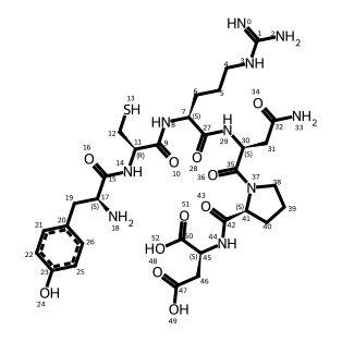 N=C(N)NCCC[C@H](NC(=O)[C@H](CS)NC(=O)[C@@H](N)Cc1ccc(O)cc1)C(=O)N[C@@H](CC(N)=O)C(=O)N1CCC[C@H]1C(=O)N[C@@H](CC(=O)O)C(=O)O